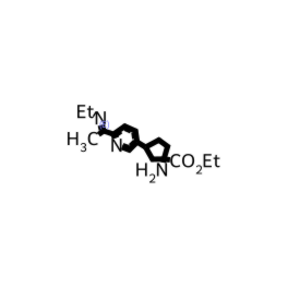 CC/N=C(\C)c1ccc(C2CCC(N)(C(=O)OCC)C2)cn1